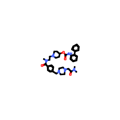 CN(C)C(=O)CN1CCN(Cc2ccc(C(=O)N(C)CCN3CCC(OC(=O)Nc4ccccc4-c4ccccc4)CC3)cc2)CC1